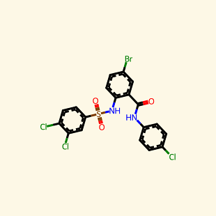 O=C(Nc1ccc(Cl)cc1)c1cc(Br)ccc1NS(=O)(=O)c1ccc(Cl)c(Cl)c1